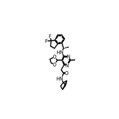 Cc1nc(CC(=O)NC23CC4C2C43)c(C2OCCO2)c(N[C@H](C)c2cccc3c2CCC3(F)F)n1